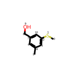 CSc1cc(C)cc([CH]O)c1